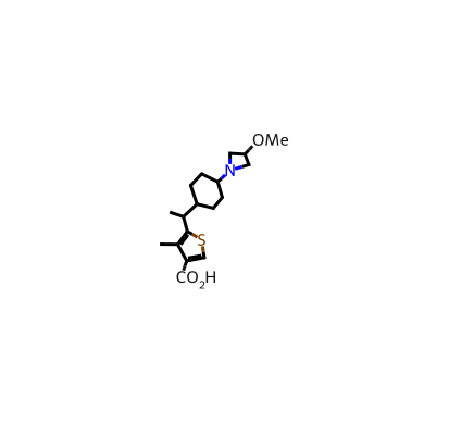 COC1CN(C2CCC(C(C)c3scc(C(=O)O)c3C)CC2)C1